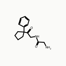 NCC(=O)NCC(=O)C1(c2ccccc2)CCCC1